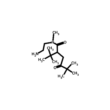 CN(CCN)C(=O)C(CC(=O)C(C)(C)C)C(C)(C)C